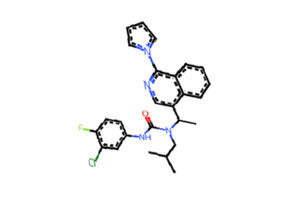 CC(C)CN(C(=O)Nc1ccc(F)c(Cl)c1)C(C)c1cnc(-n2cccc2)c2ccccc12